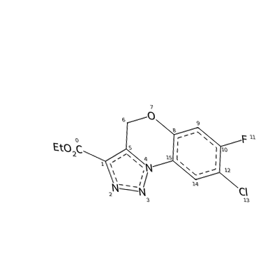 CCOC(=O)c1nnn2c1COc1cc(F)c(Cl)cc1-2